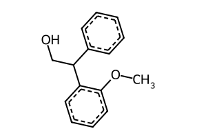 COc1ccccc1C(CO)c1ccccc1